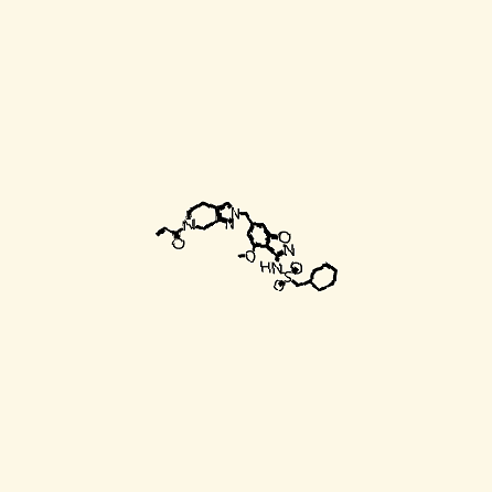 C=CC(=O)N1CCc2cn(Cc3cc(OC)c4c(NS(=O)(=O)CC5CCCCC5)noc4c3)nc2C1